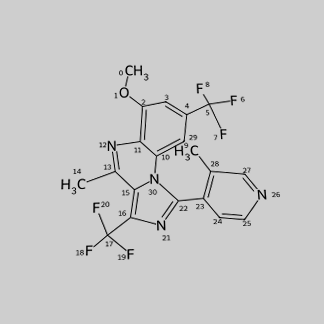 COc1cc(C(F)(F)F)cc2c1nc(C)c1c(C(F)(F)F)nc(-c3ccncc3C)n12